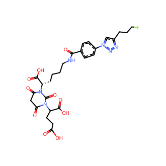 O=C(O)CCC(C(=O)O)N1C(=O)CC(=O)N([C@@H](CCCCNC(=O)c2ccc(-n3cc(CCCF)nn3)cc2)C(=O)O)C1=O